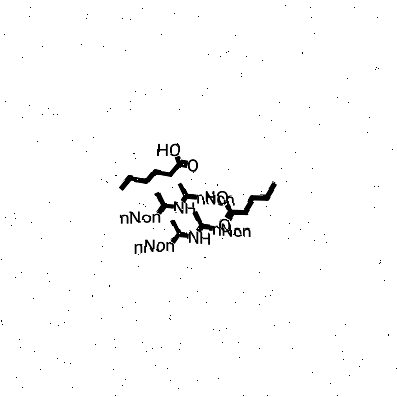 CCCCC(=O)O.CCCCCC(=O)O.CCCCCCCCCC(C)NC(C)CCCCCCCCC.CCCCCCCCCC(C)NC(C)CCCCCCCCC